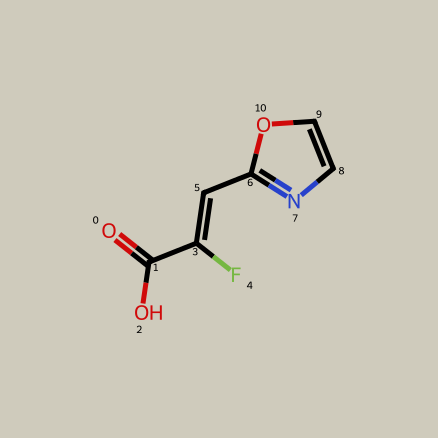 O=C(O)/C(F)=C/c1ncco1